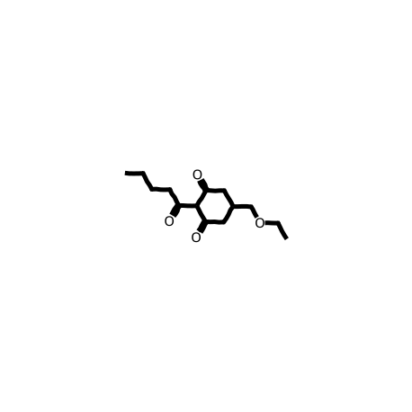 CCCCC(=O)C1C(=O)CC(COCC)CC1=O